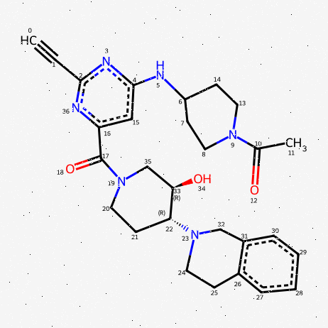 C#Cc1nc(NC2CCN(C(C)=O)CC2)cc(C(=O)N2CC[C@@H](N3CCc4ccccc4C3)[C@H](O)C2)n1